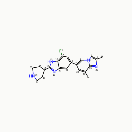 Cc1cn2cc(-c3cc(F)c4[nH]c(C5CCNCC5)nc4c3)cc(C)c2n1